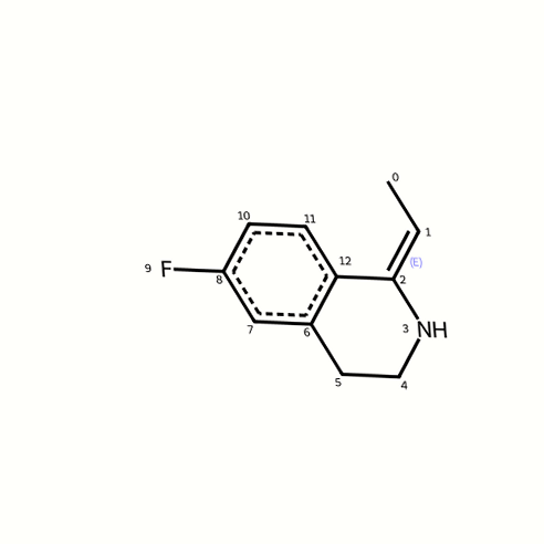 C/C=C1/NCCc2cc(F)ccc21